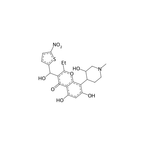 CCc1oc2c(C3CCN(C)CC3O)c(O)cc(O)c2c(=O)c1C(O)c1ccc([N+](=O)[O-])s1